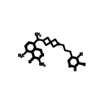 Cc1ccc(N(C)C2CC3(C2)CN(CCCc2cn[nH]c(=O)c2Cl)C3)c2cnn(C)c(=O)c12